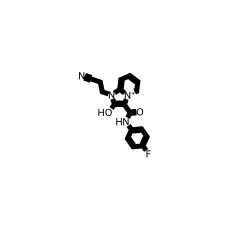 N#CCCn1c(O)c(C(=O)Nc2ccc(F)cc2)[n+]2ccccc12